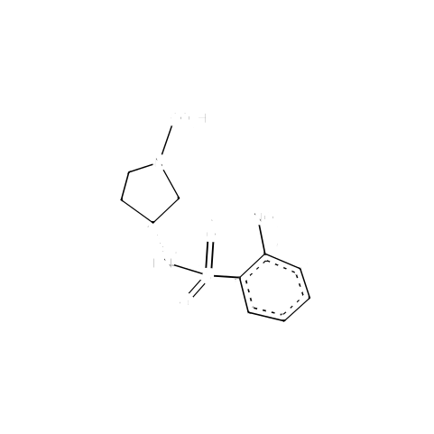 O=C(O)N1CC[C@@H](NS(=O)(=O)c2ccccc2[N+](=O)[O-])C1